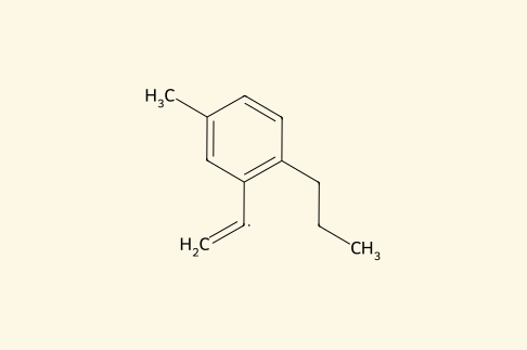 C=[C]c1cc(C)ccc1CCC